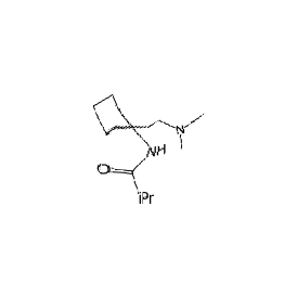 CC(C)C(=O)NC1(CN(C)C)CCC1